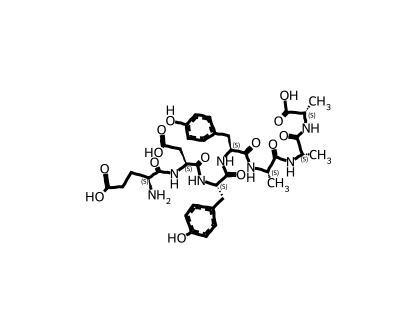 C[C@H](NC(=O)[C@H](C)NC(=O)[C@H](C)NC(=O)[C@H](Cc1ccc(O)cc1)NC(=O)[C@H](Cc1ccc(O)cc1)NC(=O)[C@H](CC(=O)O)NC(=O)[C@@H](N)CCC(=O)O)C(=O)O